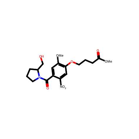 COC(=O)CCCOc1cc([N+](=O)[O-])c(C(=O)N2CCCC2CO)cc1OC